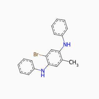 Cc1cc(Nc2ccccc2)c(Br)cc1Nc1ccccc1